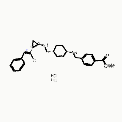 CC/C(=C\c1ccccc1)[C@@H]1C[C@H]1NC[C@H]1CC[C@H](NCc2ccc(C(=O)OC)cc2)CC1.Cl.Cl